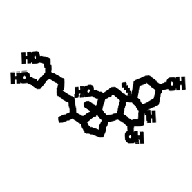 CC(CCCC(CO)CO)C1CCC2C3C(O)C[C@@H]4CC(O)CC[C@]4(C)C3CC(O)C12C